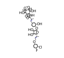 C/C(=C\c1ccc(O[C@@H]2O[C@H](/C(C)=C/COc3ccc(F)c(Cl)c3)[C@@H](O)[C@@H]2O)c(O)c1)C(=O)N[C@@H]1[C@H](O)[C@@H](O)[C@H]2OCO[C@H]2[C@@H]1O